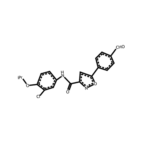 CC(C)Oc1ccc(NC(=O)c2cc(-c3ccc(C=O)cc3)on2)cc1Cl